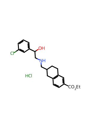 CCOC(=O)c1ccc2c(c1)CCC(CNCC(O)c1cccc(Cl)c1)C2.Cl